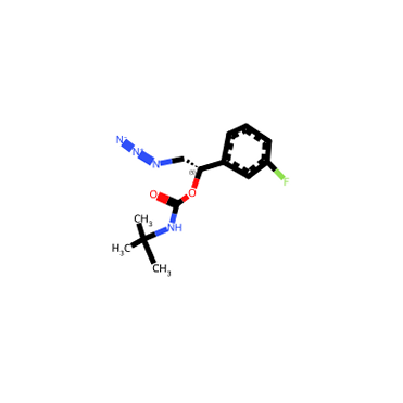 CC(C)(C)NC(=O)O[C@H](CN=[N+]=[N-])c1cccc(F)c1